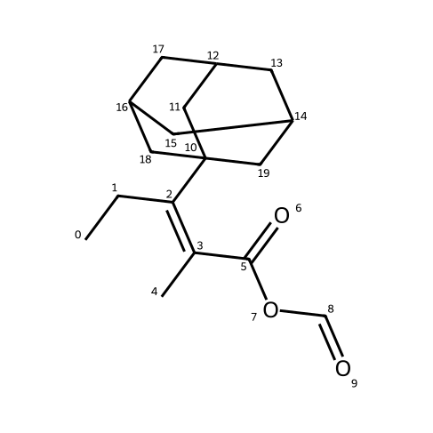 CCC(=C(C)C(=O)OC=O)C12CC3CC(CC(C3)C1)C2